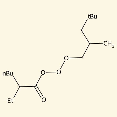 CCCCC(CC)C(=O)OOOCC(C)CC(C)(C)C